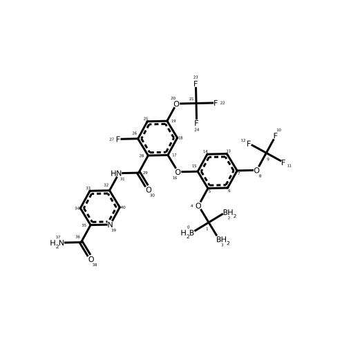 BC(B)(B)Oc1cc(OC(F)(F)F)ccc1Oc1cc(OC(F)(F)F)cc(F)c1C(=O)Nc1ccc(C(N)=O)nc1